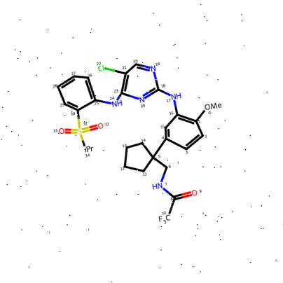 COc1ccc(C2(CNC(=O)C(F)(F)F)CCCC2)cc1Nc1ncc(Cl)c(Nc2ccccc2S(=O)(=O)C(C)C)n1